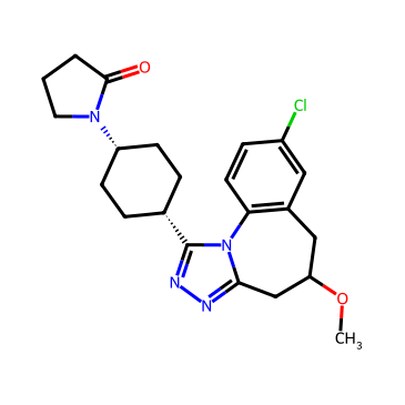 COC1Cc2cc(Cl)ccc2-n2c(nnc2[C@H]2CC[C@@H](N3CCCC3=O)CC2)C1